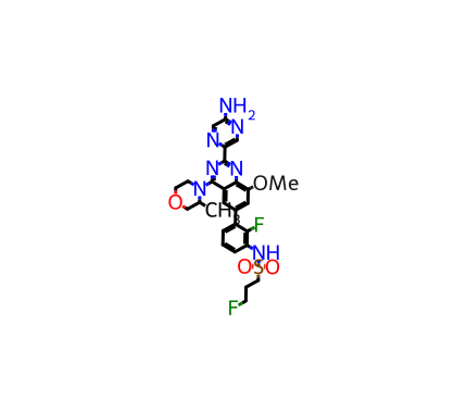 COc1cc(-c2cccc(NS(=O)(=O)CCCF)c2F)cc2c(N3CCOCC3C)nc(-c3cnc(N)cn3)nc12